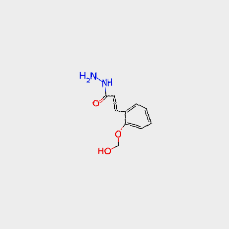 NNC(=O)C=Cc1ccccc1OCO